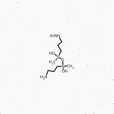 CC(=O)NCCC[Si](C)(O)O[Si](C)(O)CCCN